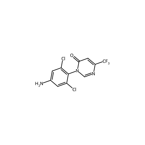 Nc1cc(Cl)c(-n2cnc(C(F)(F)F)cc2=O)c(Cl)c1